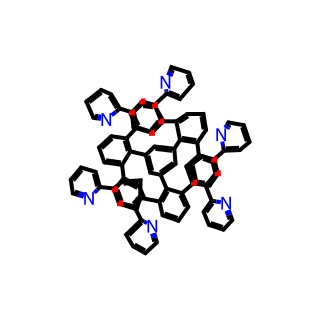 c1ccc(-c2ccc(-c3cccc(-c4ccc(-c5ccccn5)cc4)c3-c3cc(-c4c(-c5ccc(-c6ccccn6)cc5)cccc4-c4ccc(-c5ccccn5)cc4)cc(-c4c(-c5ccc(-c6ccccn6)cc5)cccc4-c4ccc(-c5ccccn5)cc4)c3)cc2)nc1